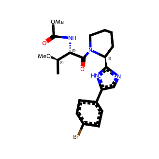 COC(=O)N[C@H](C(=O)N1CCCC[C@H]1c1ncc(-c2ccc(Br)cc2)[nH]1)[C@@H](C)OC